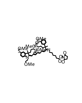 COCCN1/C(=C/C=C/C=C/C=C/C(=N\CCCCCC(=O)ON2C(=O)CCC2=O)C(C)(CCCS(=O)OC)c2cccc(SOC)c2)C(C)(CCCS(=O)OC)c2cc(SOC)ccc21